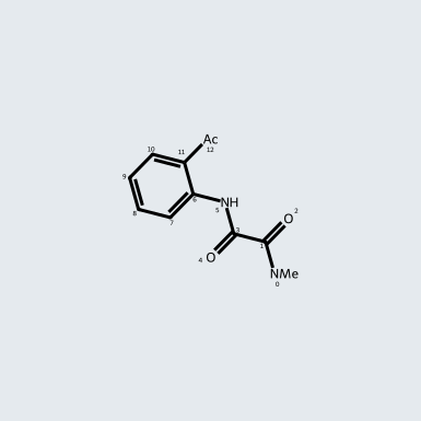 CNC(=O)C(=O)Nc1ccccc1C(C)=O